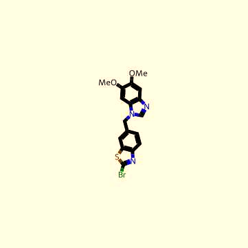 COc1cc2ncn(Cc3ccc4nc(Br)sc4c3)c2cc1OC